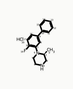 C[C@H]1CNCCN1c1cc(-c2ccccc2)ccc1F.Cl